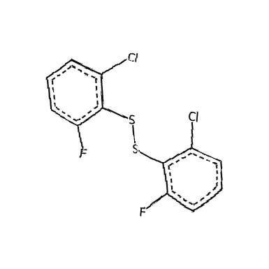 Fc1cccc(Cl)c1SSc1c(F)cccc1Cl